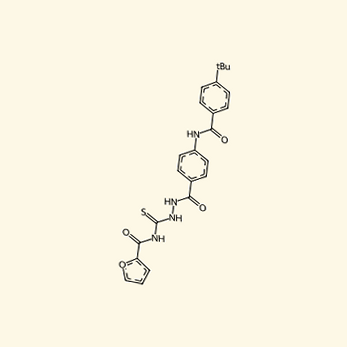 CC(C)(C)c1ccc(C(=O)Nc2ccc(C(=O)NNC(=S)NC(=O)c3ccco3)cc2)cc1